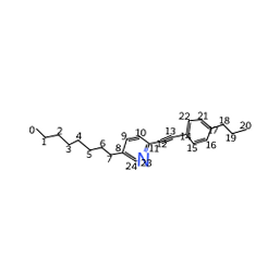 CCCCCCCCc1ccc(C#Cc2ccc(CCC)cc2)nc1